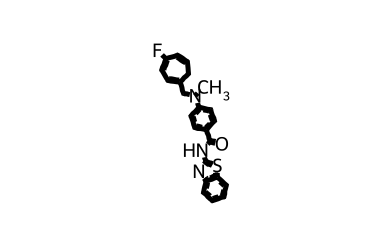 CN(CC1=CC=C(F)C=CC1)c1ccc(C(=O)Nc2nc3ccccc3s2)cc1